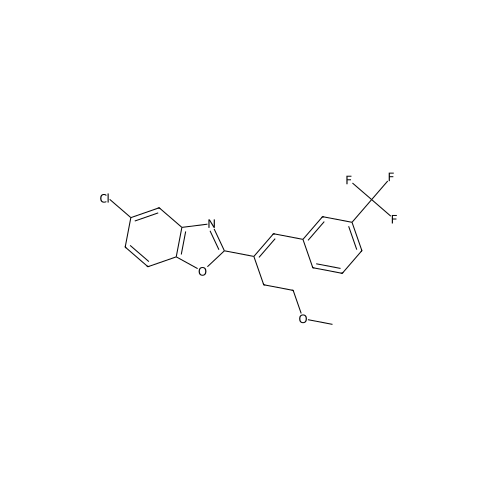 COCCC(=Cc1cccc(C(F)(F)F)c1)c1nc2cc(Cl)ccc2o1